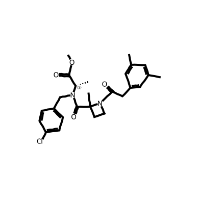 COC(=O)[C@H](C)N(Cc1ccc(Cl)cc1)C(=O)C1(C)CCN1C(=O)Cc1cc(C)cc(C)c1